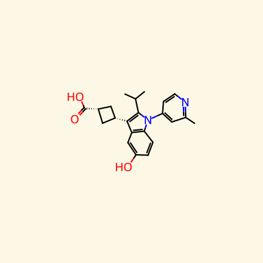 Cc1cc(-n2c(C(C)C)c([C@H]3C[C@@H](C(=O)O)C3)c3cc(O)ccc32)ccn1